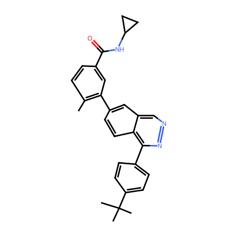 Cc1ccc(C(=O)NC2CC2)cc1-c1ccc2c(-c3ccc(C(C)(C)C)cc3)nncc2c1